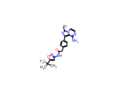 CC(C)c1nc(-c2ccc(CC(=O)Nc3cc(C(C)(C)C(F)(F)F)on3)cc2)c2c(N)nccn12